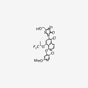 CCn1c(CO)nn(-c2cc(O[C@@H](C)C(F)(F)F)c3c(Oc4cc(OC)ncc4Cl)nccc3c2Cl)c1=O